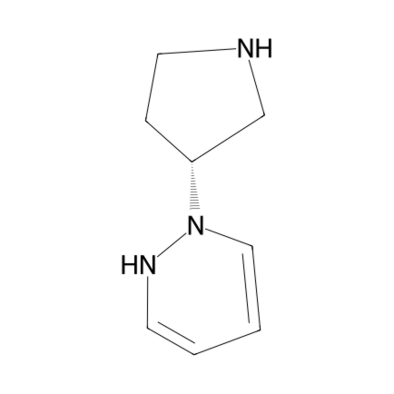 C1=CNN([C@@H]2CCNC2)C=C1